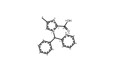 Cc1cn(C(c2ccccc2)c2ccccn2)c(C(=O)O)n1